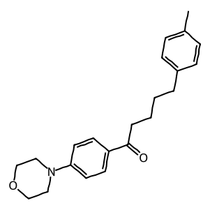 Cc1ccc(CCCCC(=O)c2ccc(N3CCOCC3)cc2)cc1